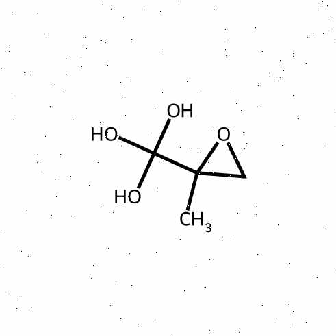 CC1(C(O)(O)O)CO1